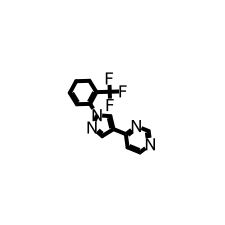 FC(F)(F)C1=C(n2cc(-c3ccncn3)cn2)C=CCC1